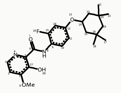 COc1ccnc(C(=O)Nc2ccc(OC3CC(C)(C)CC(C)(C)C3)cc2F)c1O